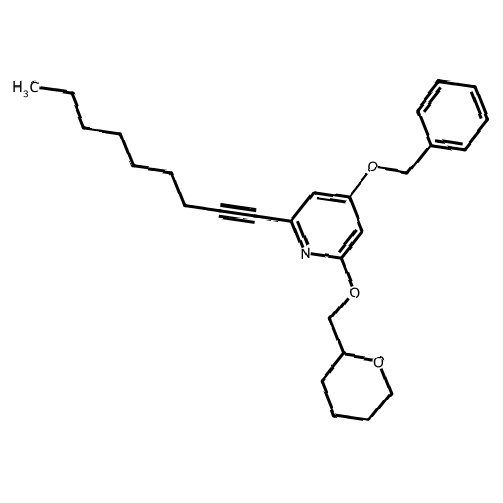 CCCCCCCC#Cc1cc(OCc2ccccc2)cc(OCC2CCCCO2)n1